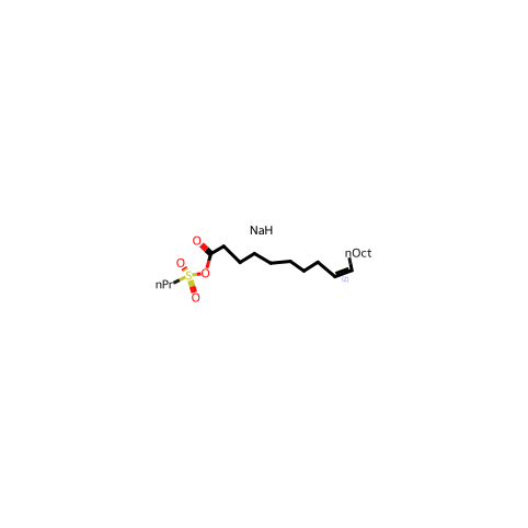 CCCCCCCC/C=C\CCCCCCCC(=O)OS(=O)(=O)CCC.[NaH]